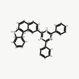 c1ccc(-c2nc(-c3ccccc3)nc(-c3ccc4ccc5sc6ccccc6c5c4c3)n2)cc1